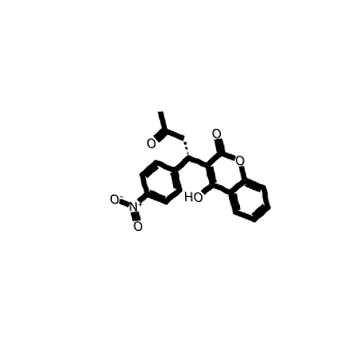 CC(=O)C[C@@H](c1ccc([N+](=O)[O-])cc1)c1c(O)c2ccccc2oc1=O